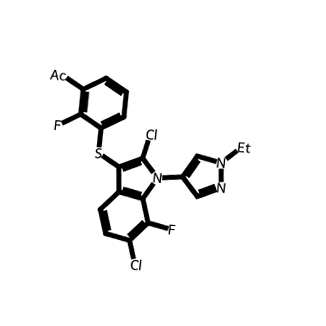 CCn1cc(-n2c(Cl)c(Sc3cccc(C(C)=O)c3F)c3ccc(Cl)c(F)c32)cn1